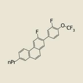 CCCc1ccc2c(ccc3cc(-c4ccc(OC(F)(F)F)c(F)c4)c(F)cc32)c1